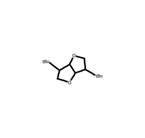 CC(C)(C)C1COC2C1OCC2C(C)(C)C